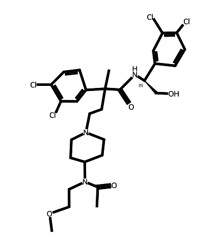 COCCN(C(C)=O)C1CCN(CCC(C)(C(=O)N[C@H](CO)c2ccc(Cl)c(Cl)c2)c2ccc(Cl)c(Cl)c2)CC1